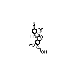 CCOc1cc(C(Nc2ccc(C#N)cc2)C(=O)OCC(C)C)c(F)cc1OCCO